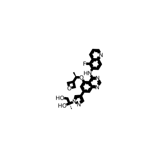 C[C@@H](Oc1cc(-c2cnn([C@@](C)(O)CO)c2)cc2ncnc(Nc3ccc4ncccc4c3F)c12)C1COC1